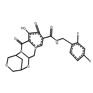 O=C(NCc1ccc(F)cc1F)c1cn2c(c(O)c1=O)C(=O)N1C3COCC(C3)OC1C2